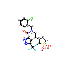 O=C(c1cc(C(F)(F)F)n[nH]1)N(CCC1CCS(O)(O)C1)Cc1ccccc1Cl